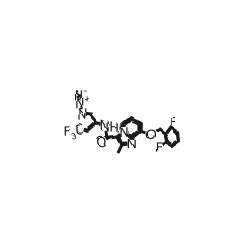 Cc1nc2c(OCc3c(F)cccc3F)cccn2c1C(=O)NC(CN=[N+]=[N-])CC(F)(F)F